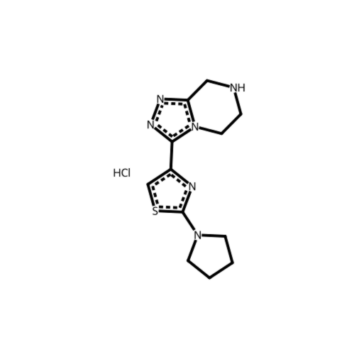 Cl.c1sc(N2CCCC2)nc1-c1nnc2n1CCNC2